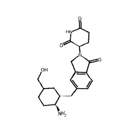 N[C@H]1CCC(CO)C[C@@H]1Cc1ccc2c(c1)CN(C1CCC(=O)NC1=O)C2=O